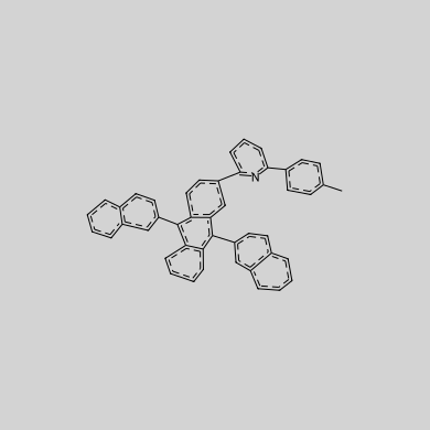 Cc1ccc(-c2cccc(-c3ccc4c(-c5ccc6ccccc6c5)c5ccccc5c(-c5ccc6ccccc6c5)c4c3)n2)cc1